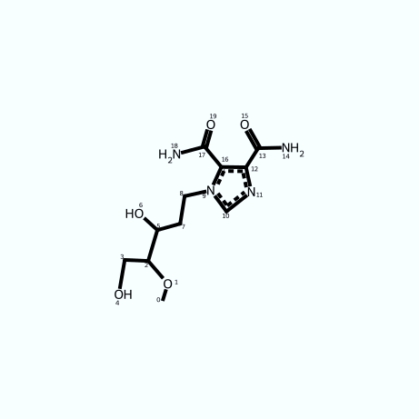 COC(CO)C(O)CCn1cnc(C(N)=O)c1C(N)=O